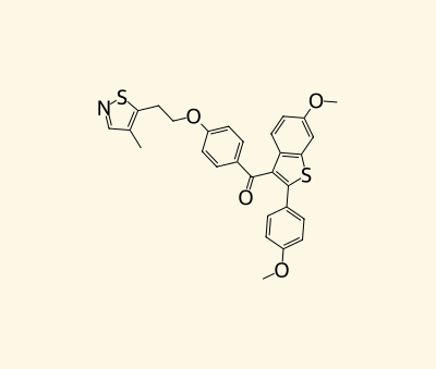 COc1ccc(-c2sc3cc(OC)ccc3c2C(=O)c2ccc(OCCc3sncc3C)cc2)cc1